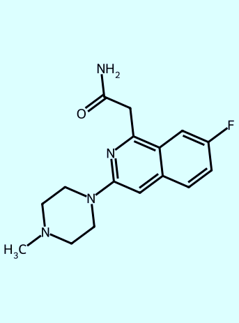 CN1CCN(c2cc3ccc(F)cc3c(CC(N)=O)n2)CC1